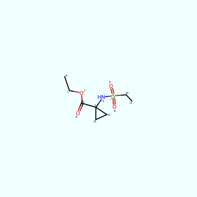 CCOC(=O)C1(NS(=O)(=O)CC)CC1